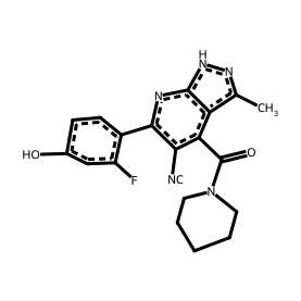 [C-]#[N+]c1c(-c2ccc(O)cc2F)nc2[nH]nc(C)c2c1C(=O)N1CCCCC1